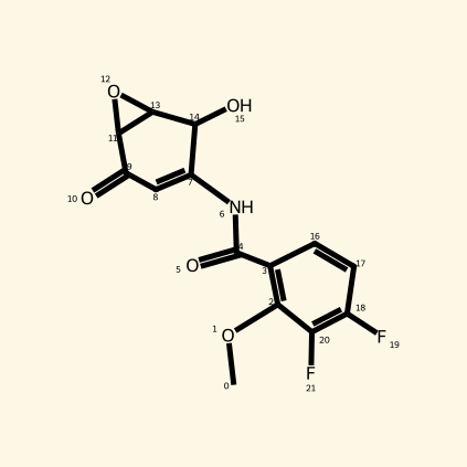 COc1c(C(=O)NC2=CC(=O)C3OC3C2O)ccc(F)c1F